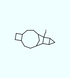 IC12C3CCC4CCC4CCC(C3)C1C1CC12